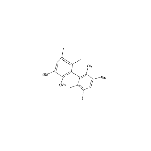 CC(=O)Oc1c(C(C)(C)C)cc(C)c(C)c1-c1c(C)c(C)cc(C(C)(C)C)c1O